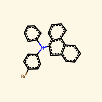 Brc1ccc(N(c2ccccc2)c2cc3ccccc3c3ccccc23)cc1